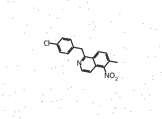 Cc1ccc2c(Cc3ccc(Cl)cc3)nccc2c1[N+](=O)[O-]